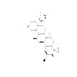 Cc1nnc([C@]23CCC(C)(C)C[C@H]2[C@H]2C(=O)C=C4[C@@]5(C)C=C(C#N)C(=O)C6(CC6)[C@@H]5CC[C@@]4(C)[C@]2(C)CC3)o1